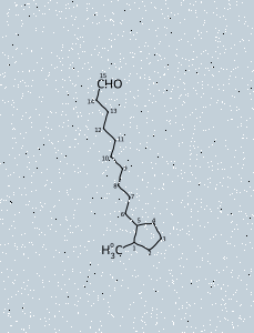 CC1CCCC1CCCCCCCCCC=O